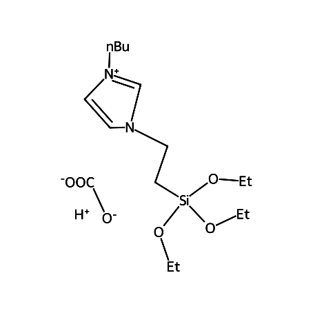 CCCC[n+]1ccn(CC[Si](OCC)(OCC)OCC)c1.O=C([O-])[O-].[H+]